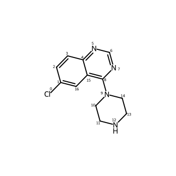 Clc1ccc2ncnc(N3CCNCC3)c2c1